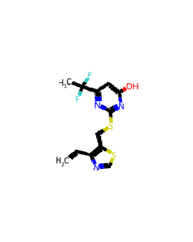 C=Cc1ncsc1CSc1nc(O)cc(C(C)(F)F)n1